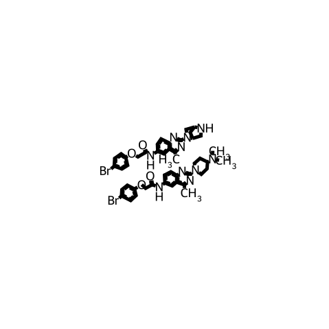 Cc1nc(N2CC3CC2CN3)nc2ccc(NC(=O)COc3ccc(Br)cc3)cc12.Cc1nc(N2CCC(N(C)C)CC2)nc2ccc(NC(=O)COc3ccc(Br)cc3)cc12